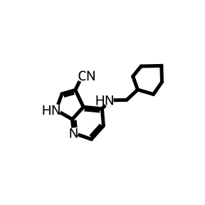 N#Cc1c[nH]c2nccc(NCC3CCCCC3)c12